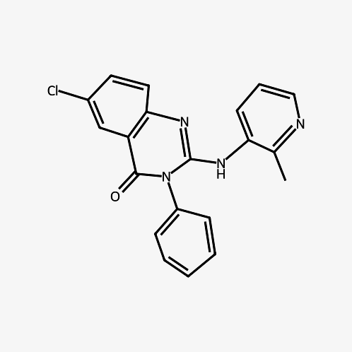 Cc1ncccc1Nc1nc2ccc(Cl)cc2c(=O)n1-c1ccccc1